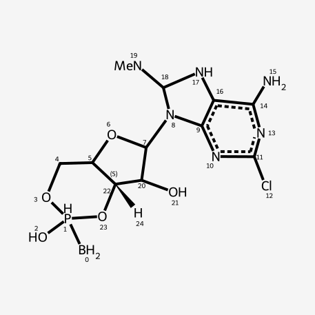 B[PH]1(O)OCC2OC(N3c4nc(Cl)nc(N)c4NC3NC)C(O)[C@@H]2O1